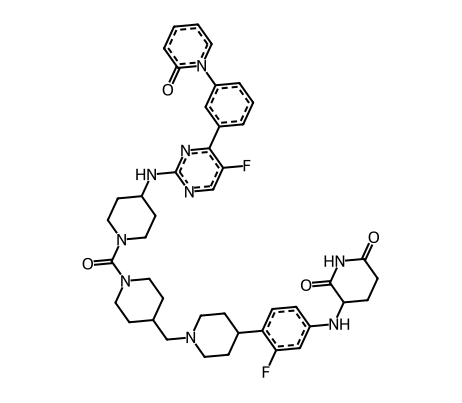 O=C1CCC(Nc2ccc(C3CCN(CC4CCN(C(=O)N5CCC(Nc6ncc(F)c(-c7cccc(-n8ccccc8=O)c7)n6)CC5)CC4)CC3)c(F)c2)C(=O)N1